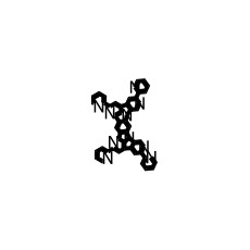 c1ccc(-c2cc3c4cc(-c5ccccn5)nc5c6cc7c8nc(-c9ccccn9)cc9c%10cc(-c%11ccccn%11)ncc%10n(c7cc6n(c3cn2)c45)c98)nc1